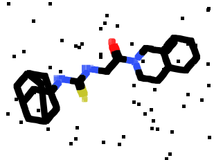 O=C(CNC(=S)NC12CC3CC(CC(C3)C1)C2)N1CCC2CCCC=C2C1